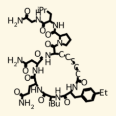 CCc1ccc(CC2NC(=O)CCSCCC(C(=O)N3CCCC3C(=O)NC(CC(C)C)C(=O)NCC(N)=O)NC(=O)C(CC(N)=O)NC(=O)C(CCC(N)=O)NC(=O)C(C(C)CC)NC2=O)cc1